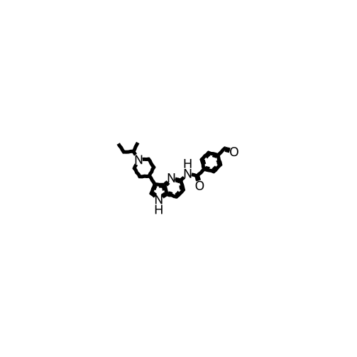 CCC(C)N1CCC(c2c[nH]c3ccc(NC(=O)c4ccc(C=O)cc4)nc23)CC1